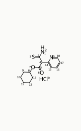 Cl.NC(=S)C(C(=O)OC1CCCCC1)c1ccccn1